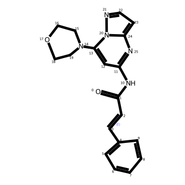 O=C(/C=C/c1ccccc1)Nc1cc(N2CCOCC2)n2nccc2n1